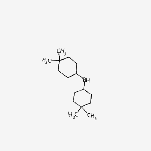 CC1(C)CCC(BC2CCC(C)(C)CC2)CC1